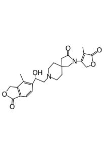 CC1=C(N2CC3(CCN(C[C@@H](O)c4ccc5c(c4C)COC5=O)CC3)CC2=O)COC1=O